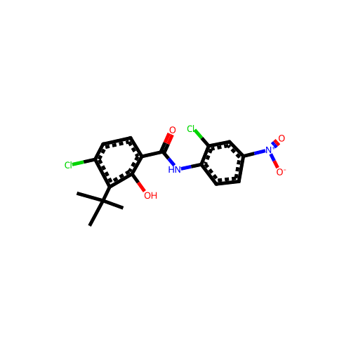 CC(C)(C)c1c(Cl)ccc(C(=O)Nc2ccc([N+](=O)[O-])cc2Cl)c1O